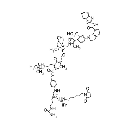 Cc1c(-c2ccc(N3CCc4cccc(C(=O)Nc5nc6ccccc6s5)c4C3)nc2C(=O)O)cnn1CC12CC3(C)CC(C)(C1)CC(OCCN(C)C(=O)[C@H](CCCC[N+](C)(C)C)NC(=O)OCc1ccc(NC[C@H](CCCNC(N)=O)NC[C@@H](NCCCCCCN4C(=O)C=CC4=O)C(C)C)cc1)(C3)C2